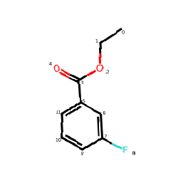 CCOC(=O)c1[c]c(F)ccc1